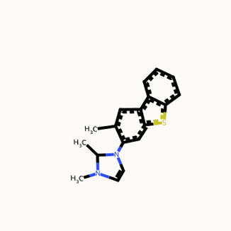 Cc1cc2c(cc1N1C=CN(C)C1C)sc1ccccc12